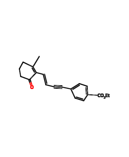 CCOC(=O)c1ccc(C#CC=CC2=C(C)CCCC2=O)cc1